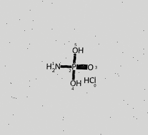 Cl.NP(=O)(O)O